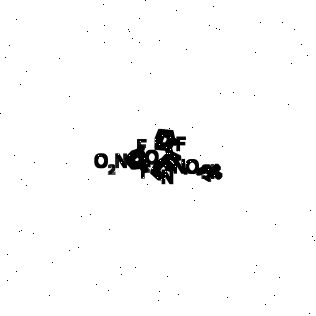 C[Si](C)(C)CCOCn1cc(-c2ccccc2F)c2c(Oc3c(F)cc([N+](=O)[O-])cc3F)ccnc21